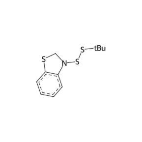 CC(C)(C)SSN1CSc2ccccc21